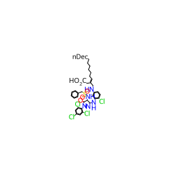 CCCCCCCCCCCCCCCCC=C(CNc1ccc(Cl)c(NC2=NN(c3c(Cl)cc(Cl)cc3Cl)C(=O)C2NS(=O)(=O)Cc2ccccc2)c1)CC(=O)O